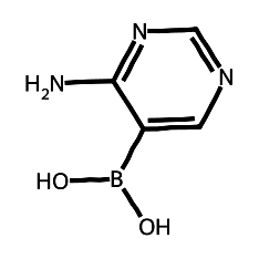 Nc1ncncc1B(O)O